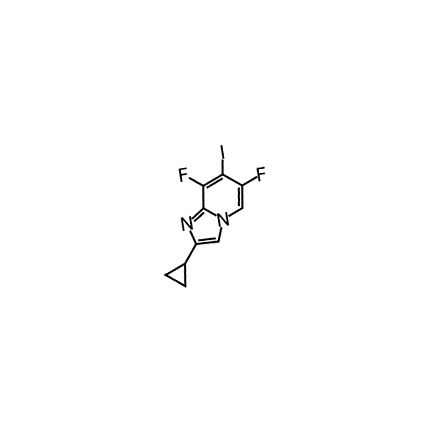 Fc1cn2cc(C3CC3)nc2c(F)c1I